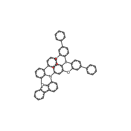 Cc1cccc(-c2ccccc2)c1N(c1cc2c3c(c1)Oc1cc(-c4ccccc4)ccc1B3c1ccc(-c3ccccc3)cc1O2)c1cccc2c1oc1ccccc12